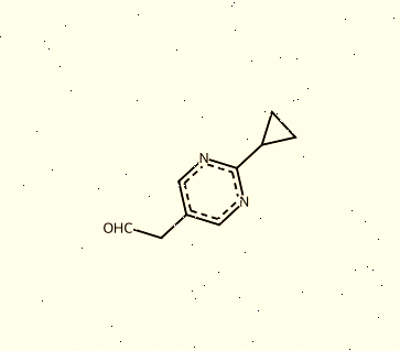 O=CCc1cnc(C2CC2)nc1